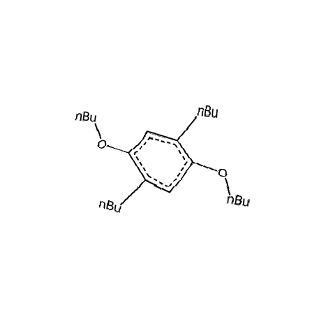 CCCCOc1cc(CCCC)c(OCCCC)cc1CCCC